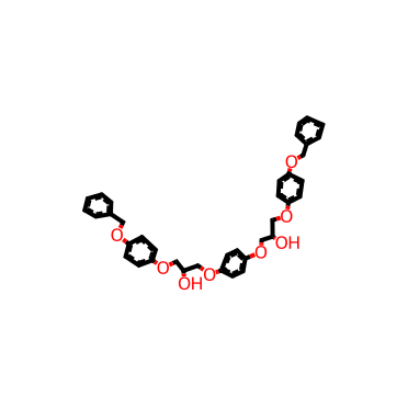 OC(COc1ccc(OCc2ccccc2)cc1)COc1ccc(OCC(O)COc2ccc(OCc3ccccc3)cc2)cc1